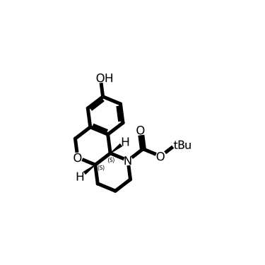 CC(C)(C)OC(=O)N1CCC[C@@H]2OCc3cc(O)ccc3[C@@H]21